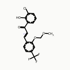 COCOc1cc(C(F)(F)F)ccc1/C=C/C(=O)c1cccc(Cl)c1O